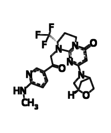 CNc1ccc(C(=O)CN2c3nc(N4C[C@@H]5CC4CO5)cc(=O)n3CC[C@H]2C(F)(F)F)cn1